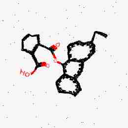 CCc1ccc2c(OC(=O)C3CC=CCC3C(=O)O)c3ccccc3cc2c1